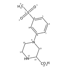 CS(=O)(=O)c1cccc(N2CCNC(C(=O)O)C2)c1